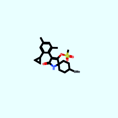 COC1CCC2(CC1)NC(=O)C(c1c(C)cc(C)cc1C1CC1)=C2OS(C)(=O)=O